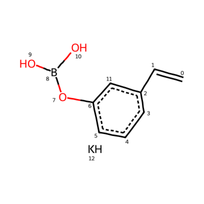 C=Cc1cccc(OB(O)O)c1.[KH]